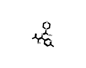 C=C(C)/C(CCC)=C(\N=C(/CCCC)N1CCOCC1)c1ccc(C)nc1